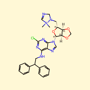 C[N+]1(C)C=NCN1C[C@H]1O[C@@H](n2cnc3c(NCC(c4ccccc4)c4ccccc4)nc(Cl)nc32)[C@@H]2OCO[C@@H]21